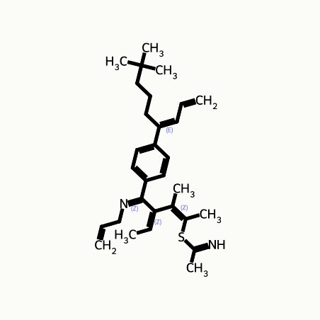 C=C/C=C(\CCCC(C)(C)C)c1ccc(C(=N/CC=C)/C(=C\C)C(/C)=C(/C)SC(C)=N)cc1